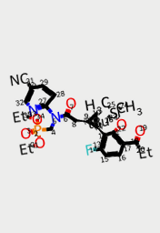 CCOP(=O)(CN(C(=O)C[C@H]1C[C@H]1c1c(F)ccc(C(=O)CC)c1O[Si](C)(C)C(C)(C)C)c1ccc(C#N)cn1)OCC